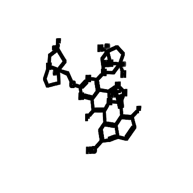 C#Cc1c(F)ccc2cc(O)cc(-c3c(F)c4nc(OC[C@@]56CCCN5C[C@H](F)C6)nc(N5C[C@H]6CC[C@@H](C5)N6)c4c4nnnn34)c12